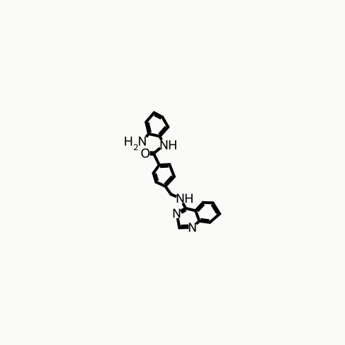 Nc1ccccc1NC(=O)c1ccc(CNc2ncnc3ccccc23)cc1